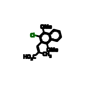 COc1c(Cl)c(C=C(C)C(=O)O)c(OC)c2ccccc12